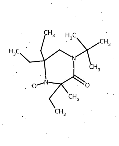 CCC1(CC)CN(C(C)(C)C)C(=O)C(C)(CC)N1[O]